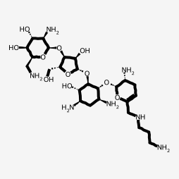 NCCCNCC1=CC[C@@H](N)[C@@H](O[C@H]2[C@H](O[C@@H]3O[C@H](CO)[C@@H](O[C@H]4O[C@@H](CN)[C@@H](O)[C@H](O)[C@H]4N)[C@H]3O)[C@@H](O)[C@H](N)C[C@@H]2N)O1